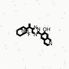 C=C(c1cnc(-c2cc3ccncc3cc2O)nn1)C1CC2CCCC(N2)[C@H]1F